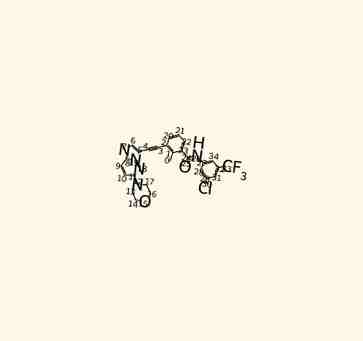 Cc1c(C#Cc2cnc3ccc(N4CCOCC4)nn23)cccc1C(=O)Nc1cc(Cl)cc(C(F)(F)F)c1